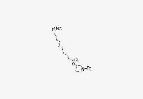 CCCCCCCCCCCCCCCCCCCC(=O)OC1C[CH]N(CC)C1